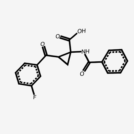 O=C(NC1(C(=O)O)CC1C(=O)c1cccc(F)c1)c1ccccc1